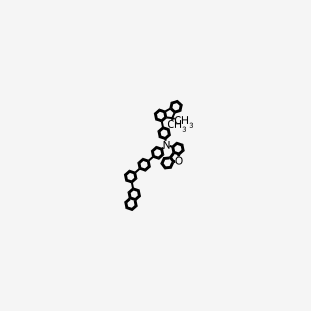 CC1(C)c2ccccc2-c2cccc(-c3ccc(N(c4ccc(-c5ccc(-c6cccc(-c7ccc8ccccc8c7)c6)cc5)cc4)c4cccc5oc6ccccc6c45)cc3)c21